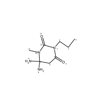 CCCN1C(=O)CC(N)(N)N(C)C1=O